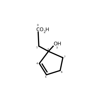 O=C(O)CC1(O)C=CCC1